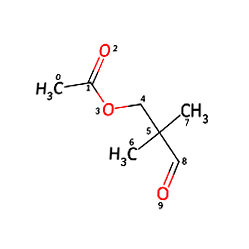 CC(=O)OCC(C)(C)C=O